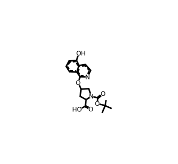 CC(C)(C)OC(=O)N1CC(Oc2nccc3c(O)cccc23)CC1C(=O)O